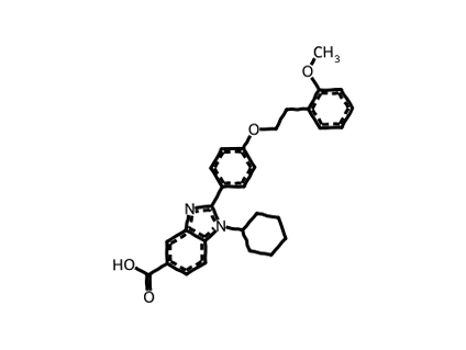 COc1ccccc1CCOc1ccc(-c2nc3cc(C(=O)O)ccc3n2C2CCCCC2)cc1